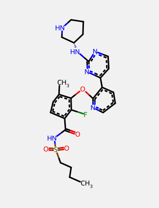 CCCCS(=O)(=O)NC(=O)c1ccc(C)c(Oc2ncccc2-c2ccnc(N[C@H]3CCCNC3)n2)c1F